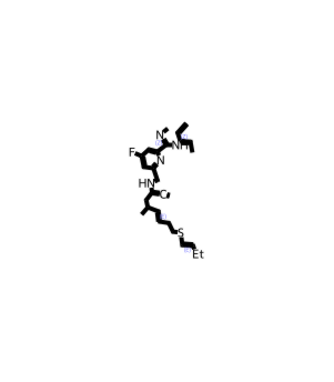 C=C=C(CC(C)/C=C/CCS/C=C/CC)NCc1cc(F)cc(/C(=N/C)N/C(C=C)=C\C)n1